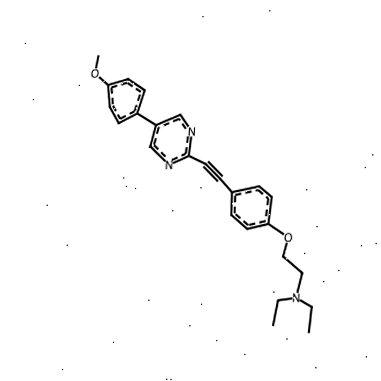 CCN(CC)CCOc1ccc(C#Cc2ncc(-c3ccc(OC)cc3)cn2)cc1